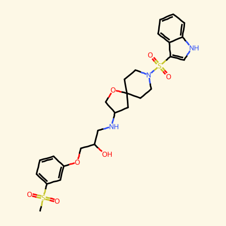 CS(=O)(=O)c1cccc(OCC(O)CNC2COC3(CCN(S(=O)(=O)c4c[nH]c5ccccc45)CC3)C2)c1